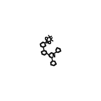 CC1(C)OB(c2cccc(-c3cccc(-c4cc(-c5ccccc5)nc(-c5ccccc5)c4)c3)c2)OC1(C)C